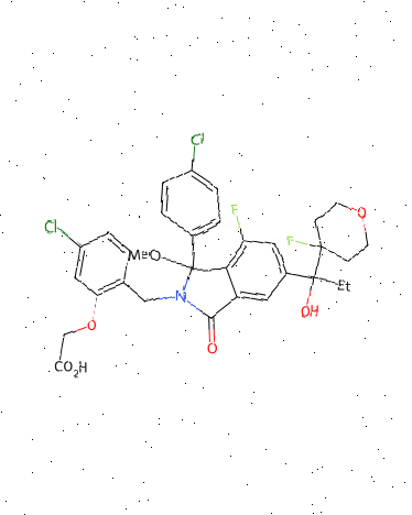 CCC(O)(c1cc(F)c2c(c1)C(=O)N(Cc1ccc(Cl)cc1OCC(=O)O)C2(OC)c1ccc(Cl)cc1)C1(F)CCOCC1